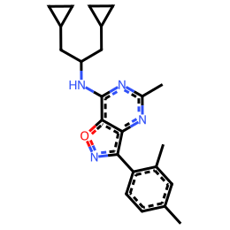 Cc1ccc(-c2noc3c(NC(CC4CC4)CC4CC4)nc(C)nc23)c(C)c1